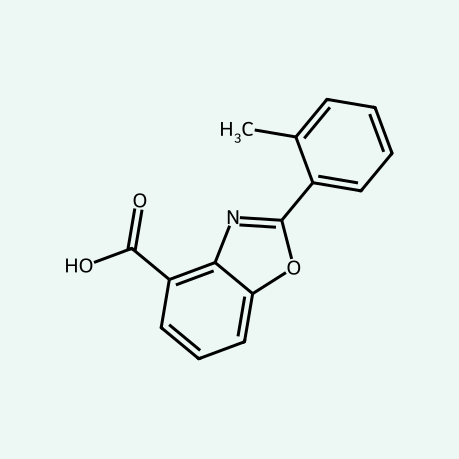 Cc1ccccc1-c1nc2c(C(=O)O)cccc2o1